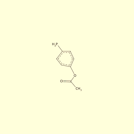 CC(=O)Oc1ccc(P)cc1